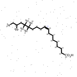 [2H]CC([2H])CC([2H])([2H])C([2H])([2H])CCC/C=C\CCCCCCCC(=O)O